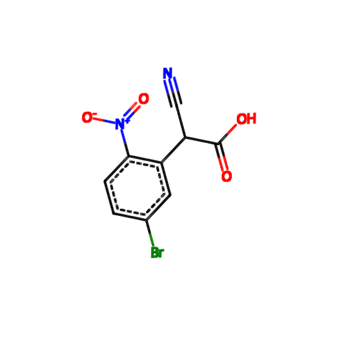 N#CC(C(=O)O)c1cc(Br)ccc1[N+](=O)[O-]